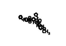 COc1ccc2nc(NC(=O)C(CC3CCCC3)c3ccc(S(=O)(=O)N4CCN(Cc5ccccc5)CC4)cc3)sc2n1